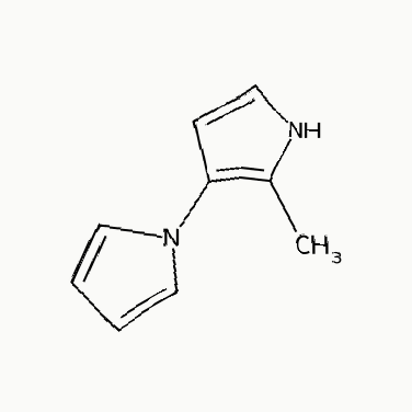 Cc1[nH]ccc1-n1cccc1